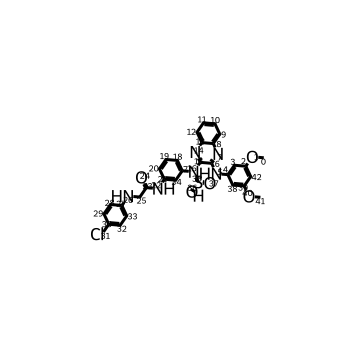 COc1cc(Nc2nc3ccccc3nc2N(c2cccc(NC(=O)CNc3ccc(Cl)cc3)c2)[SH](=O)=O)cc(OC)c1